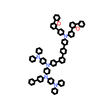 C1=CC(N(c2ccc(-c3ccccc3)cc2)c2ccc(N(c3ccccc3)c3ccccc3)cc2)CC=C1N(c1ccc(-c2cccc(-c3ccc(-c4ccc(N(c5ccc(-c6cccc7c6oc6ccccc67)cc5)c5cccc(-c6cccc7c6oc6ccccc67)c5)cc4)cc3)c2)cc1)c1ccc(N(c2ccccc2)c2ccccc2)cc1